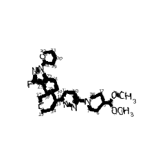 COC(OC)C1CCN(c2ccc(C3=CCCCc4c3ccc3c4c(F)nn3C3CCCCO3)nn2)CC1